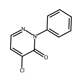 O=c1c(Cl)ccnn1-c1ccccc1